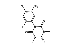 Cn1c(=S)n(C)c(=O)n(-c2cc(N)c(Cl)cc2F)c1=O